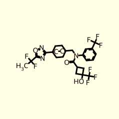 CC(F)(F)c1nc(C23CCC(CN(C(=O)C4CC(O)(C(F)(F)F)C4)c4cccc(C(F)(F)F)c4)(CC2)CC3)no1